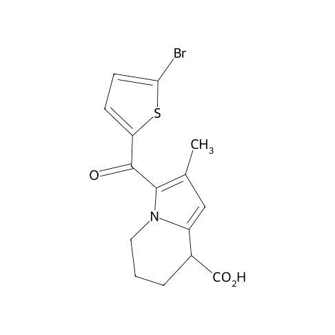 Cc1cc2n(c1C(=O)c1ccc(Br)s1)CCCC2C(=O)O